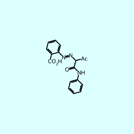 CC(=O)C(/N=N/c1ccccc1C(=O)O)C(=O)Nc1ccccc1